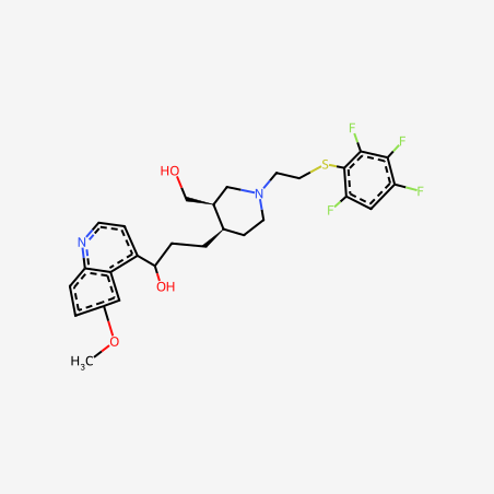 COc1ccc2nccc(C(O)CC[C@@H]3CCN(CCSc4c(F)cc(F)c(F)c4F)C[C@@H]3CO)c2c1